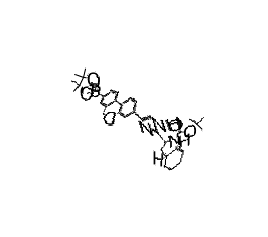 CC(C)(C)OC(=O)N1[C@H](c2nc(-c3ccc4c(c3)OCc3cc(B5OC(C)(C)C(C)(C)O5)ccc3-4)c[nH]2)C[C@@H]2CCCC[C@@H]21